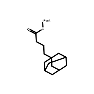 CCCCCOC(=O)[CH]CCC12CC3CC(CC(C3)C1)C2